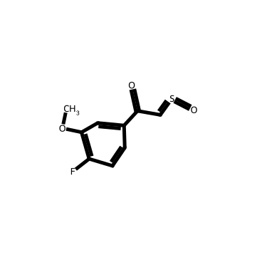 COc1cc(C(=O)C=S=O)ccc1F